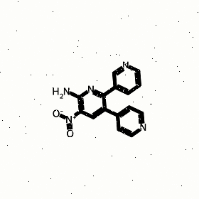 Nc1nc(-c2cccnc2)c(-c2ccncc2)cc1[N+](=O)[O-]